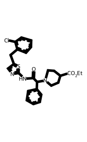 CCOC(=O)C1CCN(C(C(=O)Nc2ncc(Cc3ccccc3Cl)s2)c2ccccc2)CC1